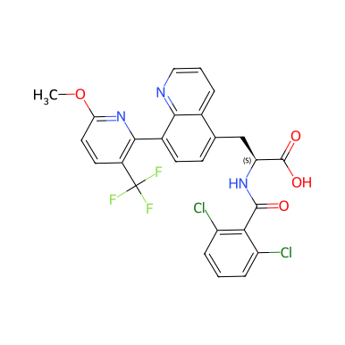 COc1ccc(C(F)(F)F)c(-c2ccc(C[C@H](NC(=O)c3c(Cl)cccc3Cl)C(=O)O)c3cccnc23)n1